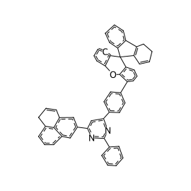 C1=CC2=C(CC1)c1ccccc1C21c2ccccc2Oc2c(-c3ccc(-c4cc(-c5cc6c7c(cccc7c5)CC=C6)nc(-c5ccccc5)n4)cc3)cccc21